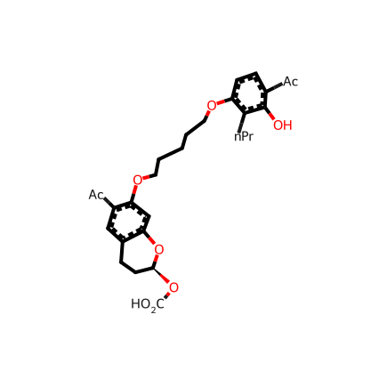 CCCc1c(OCCCCCOc2cc3c(cc2C(C)=O)CC[C@H](OC(=O)O)O3)ccc(C(C)=O)c1O